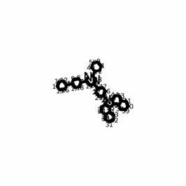 C1=CCC(c2nc(-c3ccc(-c4ccccc4)cc3)cc(-c3ccc(-n4c5ccc6ccccc6c5c5c6ccccc6ccc54)cc3)n2)CC1